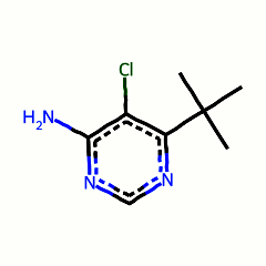 CC(C)(C)c1ncnc(N)c1Cl